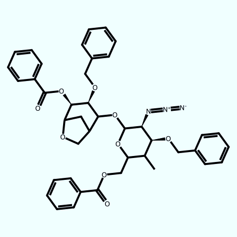 CC1C(COC(=O)c2ccccc2)OC(OC2C3COC(C3)[C@@H](OC(=O)c3ccccc3)[C@H]2OCc2ccccc2)[C@@H](N=[N+]=[N-])[C@H]1OCc1ccccc1